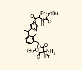 Cc1c(COC(=O)C(N)(C(=O)OC(C)(C)C)C(C)C)cccc1C(C)c1cn(C(=O)C(NC(=O)OC(C)(C)C)C(C)C)cn1